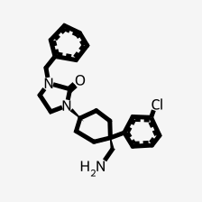 NC[C@]1(c2cccc(Cl)c2)CC[C@H](N2CCN(Cc3ccccc3)C2=O)CC1